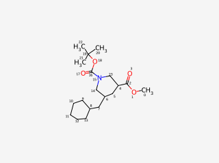 COC(=O)C1CC(CC2CCCCC2)CN(C(=O)OC(C)(C)C)C1